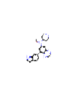 CC(=O)N(c1cc(-c2ccc3ccn(C)c3c2)c2nccnc2c1)C1CCNCC1